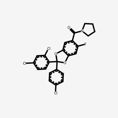 O=C(c1cc2c(cc1F)OC(c1ccc(Cl)cc1)(c1ccc(Cl)cc1Cl)O2)N1CCCC1